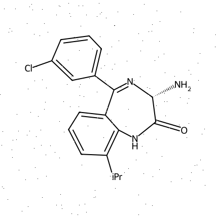 CC(C)c1cccc2c1NC(=O)[C@@H](N)N=C2c1cccc(Cl)c1